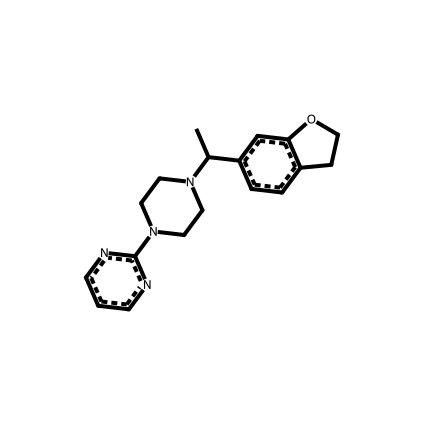 CC(c1ccc2c(c1)OCC2)N1CCN(c2ncccn2)CC1